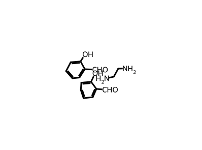 NCCN.O=Cc1ccccc1O.O=Cc1ccccc1O